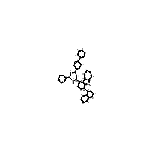 c1ccc(-c2ccc(C3=NC(c4ccccc4)NC(c4ccc(-c5cccc6ccccc56)c5oc6ccccc6c45)N3)cc2)cc1